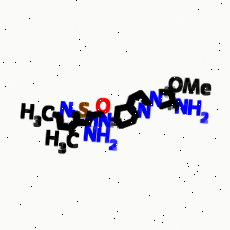 CO[C@H]1CN(c2ccc3c(n2)CC[C@H](NC(=O)c2sc4nc(C)cc(C)c4c2N)C3)C[C@@H]1N